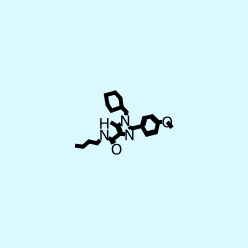 CCCCNC(=O)c1nc(-c2ccc(OC)cc2)n(CC2CCCCC2)c1C